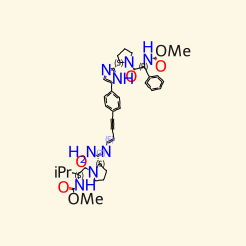 COC(=O)N[C@H](C(=O)N1CCC[C@H]1/C(N)=N/C=C/C#Cc1ccc(-c2cnc([C@@H]3CCCN3C(=O)[C@H](NC(=O)OC)c3ccccc3)[nH]2)cc1)C(C)C